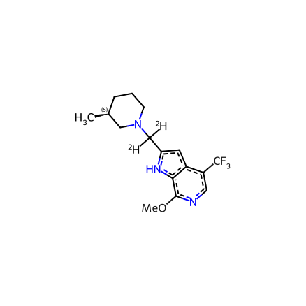 [2H]C([2H])(c1cc2c(C(F)(F)F)cnc(OC)c2[nH]1)N1CCC[C@H](C)C1